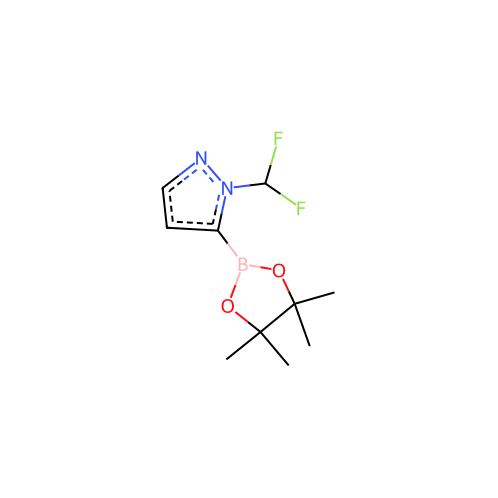 CC1(C)OB(c2ccnn2C(F)F)OC1(C)C